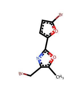 Cc1oc(-c2ccc(Br)o2)nc1CBr